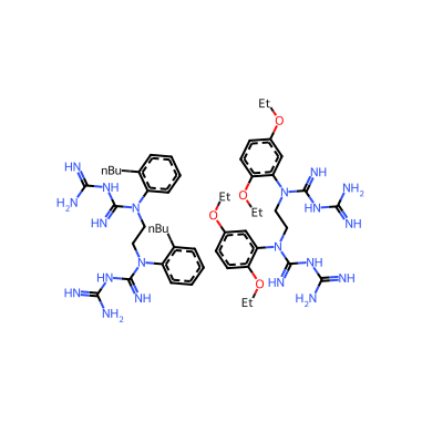 CCCCc1ccccc1N(CCN(C(=N)NC(=N)N)c1ccccc1CCCC)C(=N)NC(=N)N.CCOc1ccc(OCC)c(N(CCN(C(=N)NC(=N)N)c2cc(OCC)ccc2OCC)C(=N)NC(=N)N)c1